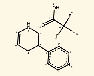 C1=CNCC(c2ccncc2)C1.O=C(O)C(F)(F)F